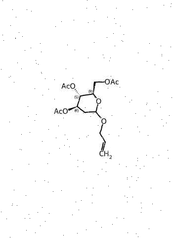 C=CCOC1C[C@@H](OC(C)=O)[C@H](OC(C)=O)[C@@H](COC(C)=O)O1